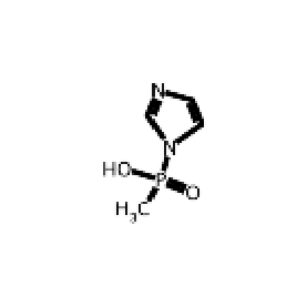 CP(=O)(O)n1ccnc1